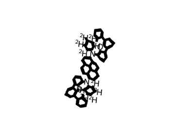 [2H]c1c([2H])c([2H])c(N(c2ccc3ccc4c(N(c5c([2H])c([2H])c([2H])c([2H])c5[2H])c5cccc6c5oc5c(-c7ccccc7C)cccc56)ccc5ccc2c3c54)c2cccc3c2oc2c(-c4ccccc4C)cccc23)c([2H])c1[2H]